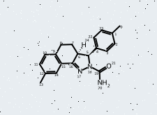 Cc1ccc([C@@H]2[C@@H]3CCc4ccc(C)cc4C3=NN2C(N)=O)cc1